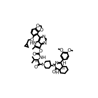 COc1ccc(C2=NN(C3CCN(C(=O)[C@H](NC(=O)Oc4c(C)[nH]c5c(-c6c(OCC7CC7)ccc7c6OCO7)ncnc45)C(C)C)CC3)C(=O)[C@@H]3CCCC[C@H]23)cc1OC